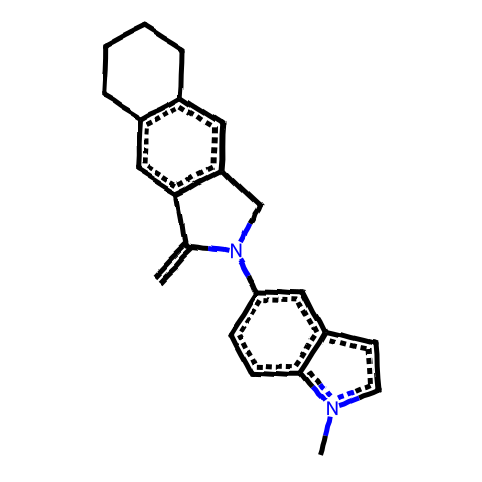 C=C1c2cc3c(cc2CN1c1ccc2c(ccn2C)c1)CCCC3